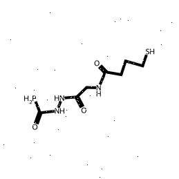 O=C(P)NNC(=O)CNC(=O)CCCS